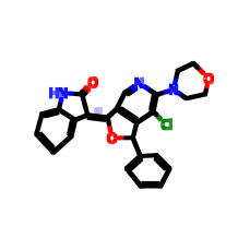 O=C1Nc2ccccc2/C1=C1\OC(c2ccccc2)c2c1cnc(N1CCOCC1)c2Cl